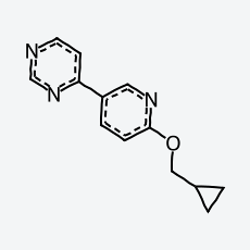 c1cc(-c2ccc(OCC3CC3)nc2)ncn1